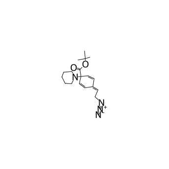 CC(C)(C)OC(=O)C1(N2CCCCC2)C=CC(=CCN=[N+]=[N-])C=C1